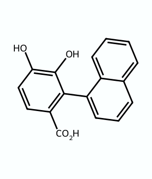 O=C(O)c1ccc(O)c(O)c1-c1cccc2ccccc12